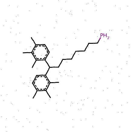 Cc1ccc(C(CCCCCCCP)c2ccc(C)c(C)c2C)c(C)c1C